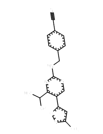 Cc1cc(-c2cnc(NCc3ccc(C#N)cc3)nc2C(C)C)on1